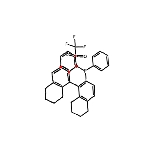 O=S(=O)(Oc1ccc2c(c1-c1c(P(c3ccccc3)c3ccccc3)ccc3c1CCCC3)CCCC2)C(F)(F)F